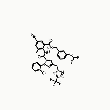 Cc1cc(C#N)cc(C(=O)NCc2cccc(OC(F)F)c2)c1NC(=O)c1cc(Cn2nnc(C(F)(F)F)n2)nn1-c1ccccc1Cl